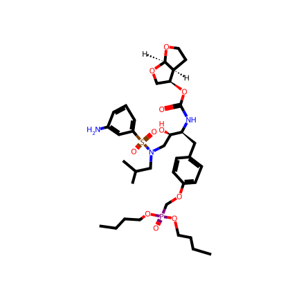 CCCCOP(=O)(COc1ccc(C[C@H](NC(=O)O[C@H]2CO[C@H]3OCC[C@H]32)[C@H](O)CN(CC(C)C)S(=O)(=O)c2cccc(N)c2)cc1)OCCCC